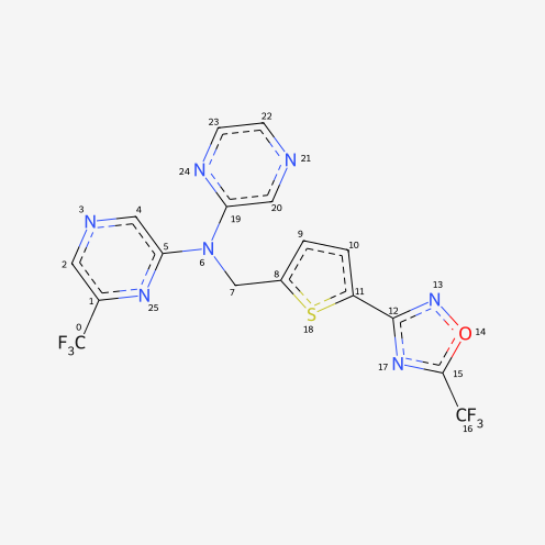 FC(F)(F)c1cncc(N(Cc2ccc(-c3noc(C(F)(F)F)n3)s2)c2cnccn2)n1